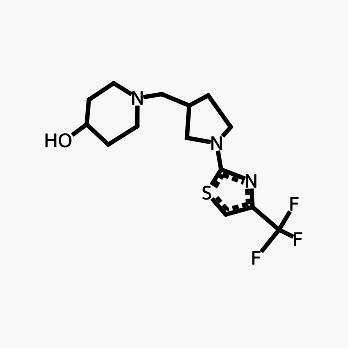 OC1CCN(CC2CCN(c3nc(C(F)(F)F)cs3)C2)CC1